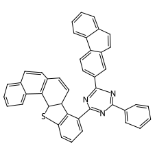 C1=CC2c3c(cccc3-c3nc(-c4ccccc4)nc(-c4ccc5c(ccc6ccccc65)c4)n3)SC2c2c1ccc1ccccc21